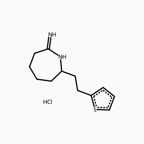 Cl.N=C1CCCCC(CCc2cccs2)N1